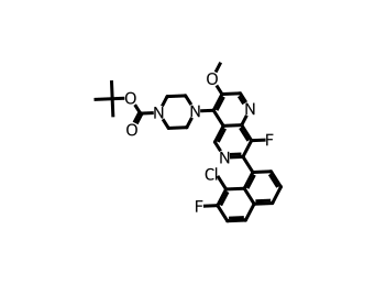 COc1cnc2c(F)c(-c3cccc4ccc(F)c(Cl)c34)ncc2c1N1CCN(C(=O)OC(C)(C)C)CC1